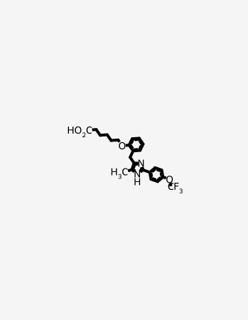 Cc1[nH]c(-c2ccc(OC(F)(F)F)cc2)nc1Cc1ccccc1OCCCCCC(=O)O